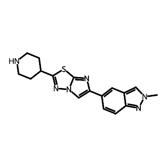 Cn1cc2cc(-c3cn4nc(C5CCNCC5)sc4n3)ccc2n1